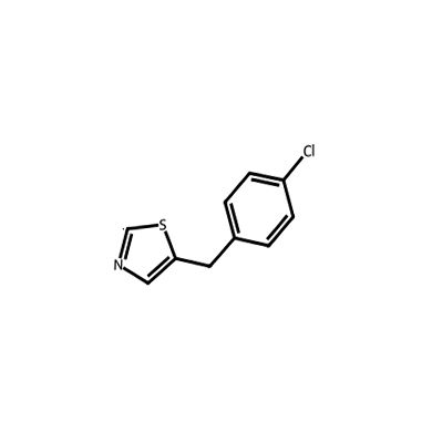 Clc1ccc(Cc2cn[c]s2)cc1